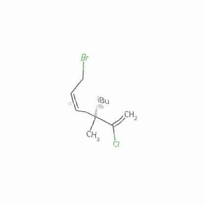 C=C(Cl)C(C)(/C=C\CBr)[C@@H](C)CC